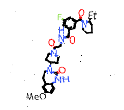 CCC1CCCCN1C(=O)c1cc(F)cc(C(=O)NCC(=O)N2CCC(N3CCC4C=C(OC)C=CC4NC3=O)CC2)c1